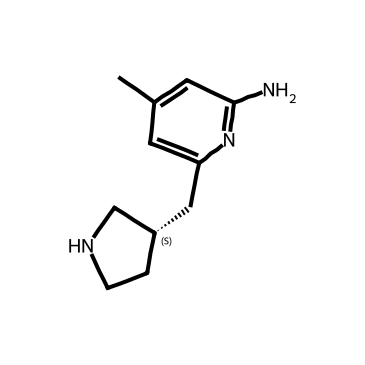 Cc1cc(N)nc(C[C@@H]2CCNC2)c1